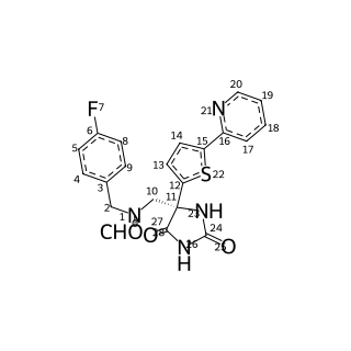 O=CN(Cc1ccc(F)cc1)C[C@]1(c2ccc(-c3ccccn3)s2)NC(=O)NC1=O